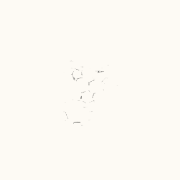 CCC1=C(C)/C(=C(\c2ccc3c(c2)CC/C=C\C=C/CC3)c2[nH]c(C)c(CC)c2C)N=C1C